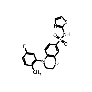 Cc1ccc(F)cc1N1CCOc2cc(S(=O)(=O)Nc3nccs3)ccc21